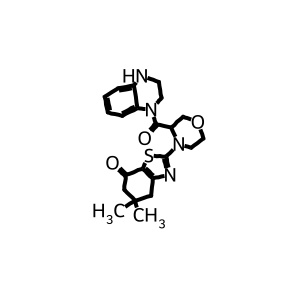 CC1(C)CC(=O)c2sc(N3CCOCC3C(=O)N3CCNc4ccccc43)nc2C1